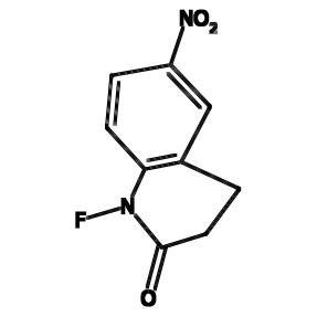 O=C1CCc2cc([N+](=O)[O-])ccc2N1F